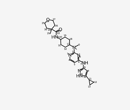 CN(c1nccc(Nc2cc(C3CC3)[nH]n2)n1)C1CCC(NC(=O)C2(C)CCOCC2)CC1